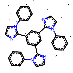 c1ccc(-n2ccnc2-c2cc(-c3nccn3-c3ccccc3)cc(-c3nccn3-c3ccccc3)c2)cc1